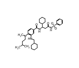 CC(C)CCN(C)c1ccc(C(=O)NC(CC(=O)NS(=O)(=O)c2ccccc2)C2CCCCC2)cc1NCC1CCCCC1